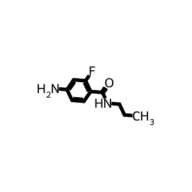 CCCNC(=O)c1ccc(N)cc1F